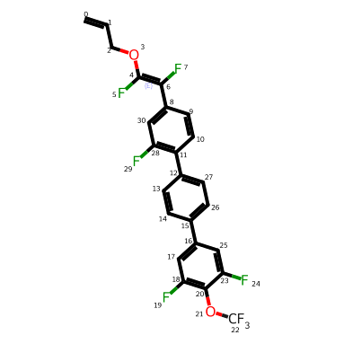 C=CCO/C(F)=C(\F)c1ccc(-c2ccc(-c3cc(F)c(OC(F)(F)F)c(F)c3)cc2)c(F)c1